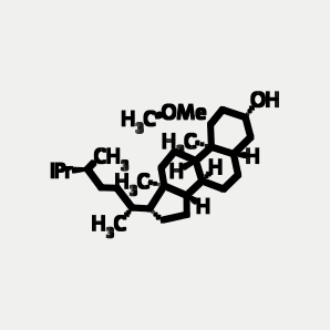 CC(C)[C@@H](C)CC[C@@H](C)[C@H]1CC[C@H]2[C@@H]3CC[C@H]4C[C@@H](O)CC[C@]4(C)[C@H]3CC[C@]12C.COC